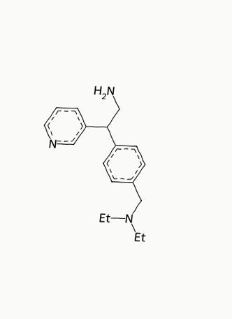 CCN(CC)Cc1ccc(C(CN)c2cccnc2)cc1